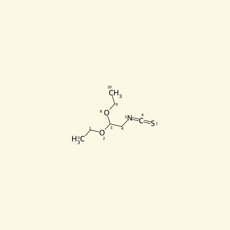 CCOC(CN=C=S)OCC